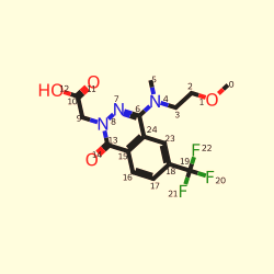 COCCN(C)c1nn(CC(=O)O)c(=O)c2ccc(C(F)(F)F)cc12